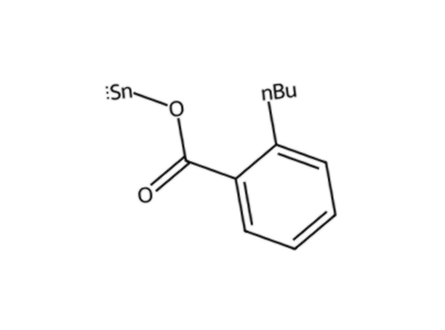 CCCCc1ccccc1C(=O)[O][Sn]